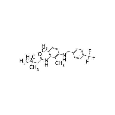 Cc1ccc(NCc2ccc(C(F)(F)F)cc2)c(C)c1NC(=O)CC(C)(C)C